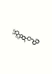 O=C1CCC(N2Cc3cc(C4CCN(Cc5cccc6cccnc56)CC4)c(F)cc3C2=O)C(=O)N1